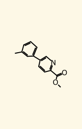 COC(=O)c1ccc(-c2cccc(C)c2)cn1